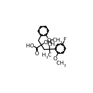 COc1ccccc1CC(O)(CC(C)(C)c1cc(F)ccc1OC)C(=O)O